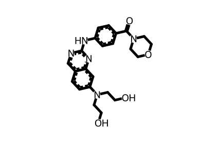 O=C(c1ccc(Nc2ncc3ccc(N(CCO)CCO)cc3n2)cc1)N1CCOCC1